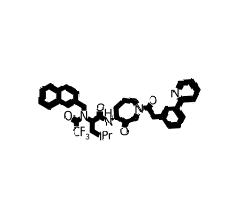 CC(C)CC(C(=O)N[C@H]1CCCN(C(=O)Cc2cccc(-c3ccccn3)c2)CC1=O)N(Cc1ccc2ccccc2c1)C(=O)C(F)(F)F